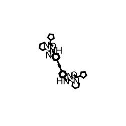 O=C(C1CCCC1)N1CCCC[C@H]1c1nc2cc(C#Cc3ccc4[nH]c([C@@H]5CCCCN5C(=O)C5CCCC5)nc4c3)ccc2[nH]1